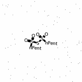 CCCCCS(=O)(=O)SS(=O)(=O)CCCCC